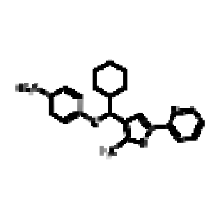 Cc1oc(-c2ccccn2)cc1C(Oc1ccc(C(=O)O)cc1)C1CCCCC1